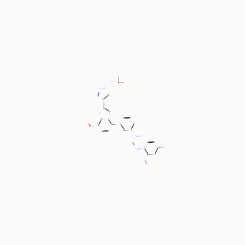 Cc1c(-c2ccc(C(N)=O)c3[nH]c(-c4cnn(CC(C)(C)O)c4)cc23)cccc1N(C)/C=N\c1ccc(F)cc1C=O